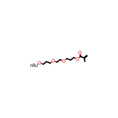 C=C(C)C(=O)OCCCOCCOCCCOCCCC